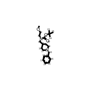 COCCN(CC1CCN(Cc2ccccc2)CC1)C(=O)OC(C)(C)C